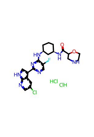 Cl.Cl.O=C(N[C@@H]1CCC[C@H](Nc2nc(-c3c[nH]c4ncc(Cl)cc34)ncc2F)C1)C1CNCCO1